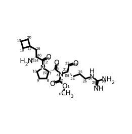 COC(=O)N(C(=O)[C@@H]1CCCN1C(=O)[C@H](N)CC1CCC1)[C@H](C=O)CCCNC(=N)N